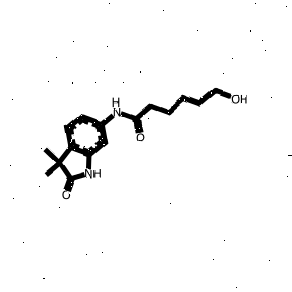 CC1(C)C(=O)Nc2cc(NC(=O)CCCCCO)ccc21